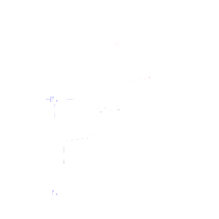 C=C1C(C#N)=CNc2cc(OC)c(OC)cc21